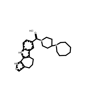 Cl.O=C(c1ccc2[nH]c3c(c2c1)CCCc1cn[nH]c1-3)N1CCC(N2CCCCCCC2)CC1